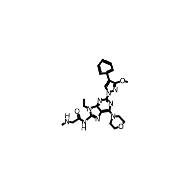 CCn1c(NC(=O)CNC)nc2c(N3CCOCC3)nc(-n3cc(-c4ccccc4)c(OC)n3)nc21